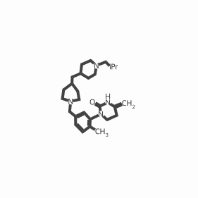 C=C1CCN(c2cc(CN3CCC(CC4CCN(CC(C)C)CC4)CC3)ccc2C)C(=O)N1